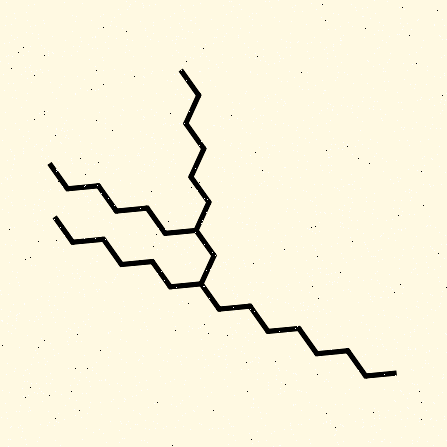 CCCCCCCCC(CCCCCC)CC(CCCCCC)CCCCCC